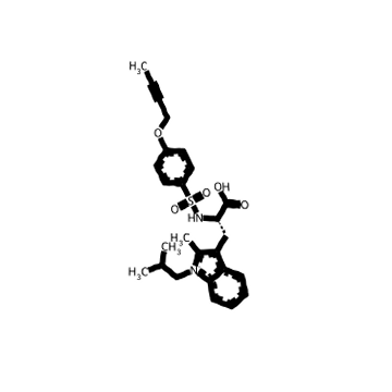 CC#CCOc1ccc(S(=O)(=O)N[C@@H](Cc2c(C)n(CC(C)C)c3ccccc23)C(=O)O)cc1